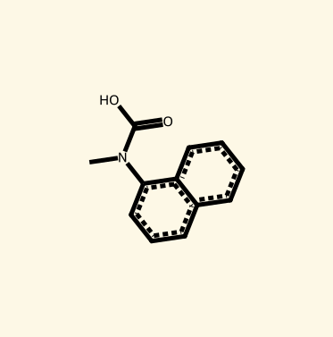 CN(C(=O)O)c1cccc2ccccc12